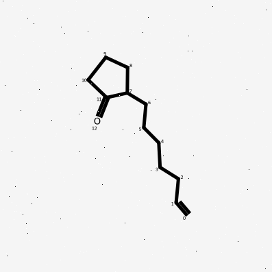 C=CCCCCCC1CCCC1=O